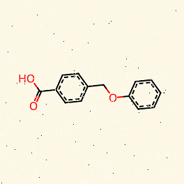 O=C(O)c1ccc(COc2cc[c]cc2)cc1